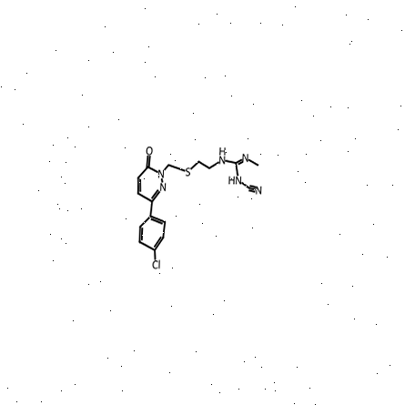 C/N=C(\NC#N)NCCSCn1nc(-c2ccc(Cl)cc2)ccc1=O